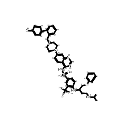 CC(C)NCCC(CSc1ccccc1)Nc1ccc(S(=O)(=O)Nc2ncnc3cc(N4CCN(Cc5ccccc5-c5ccc(Cl)cc5)CC4)ccc23)cc1C(F)(F)F